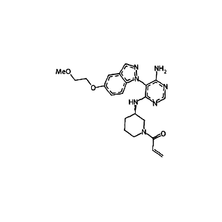 C=CC(=O)N1CCC[C@@H](Nc2ncnc(N)c2-n2ncc3cc(OCCOC)ccc32)C1